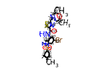 Cc1ccc(S(=O)(=O)n2ncc3c(NC(=O)c4csc(CN5C[C@@H](C)O[C@@H](C)C5)n4)cc(Br)cc32)cc1